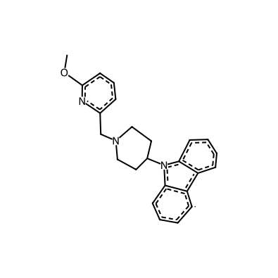 COc1cccc(CN2CCC(n3c4ccc[c]c4c4ccccc43)CC2)n1